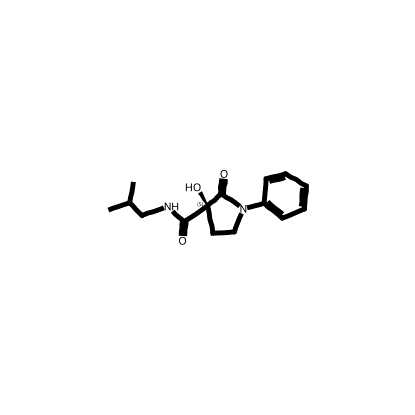 CC(C)CNC(=O)[C@@]1(O)CCN(c2ccccc2)C1=O